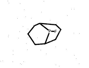 FP1C2CCCC1CCC2